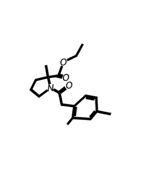 CCOC(=O)C1(C)CCCN1C(=O)Cc1ccc(C)cc1C